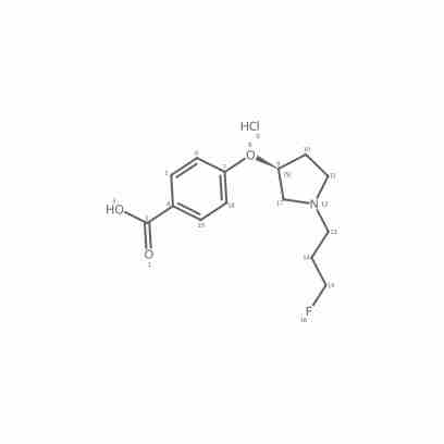 Cl.O=C(O)c1ccc(O[C@H]2CCN(CCCF)C2)cc1